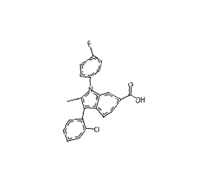 Cc1c(-c2ccccc2Cl)c2ccc(C(=O)O)cc2n1-c1ccc(F)cc1